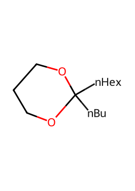 CCCCCCC1(CCCC)OCCCO1